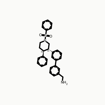 NCc1cccc(-c2cccc([C@H]3CN(S(=O)(=O)c4ccccc4)CC[C@@H]3c3ccccc3)c2)c1